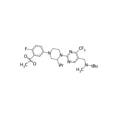 CC(C)C1CN(c2ccc(F)c(S(C)(=O)=O)c2)CCN1c1ncc(CN(C)C(C)(C)C)c(C(F)(F)F)n1